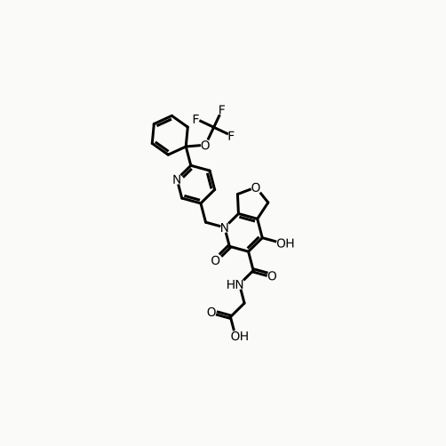 O=C(O)CNC(=O)c1c(O)c2c(n(Cc3ccc(C4(OC(F)(F)F)C=CC=CC4)nc3)c1=O)COC2